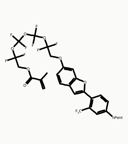 C=C(C)C(=O)OCC(F)(F)OC(F)(F)OC(F)(F)OC(F)(F)COc1ccc2cc(-c3ccc(CCCCC)cc3C(F)(F)F)oc2c1